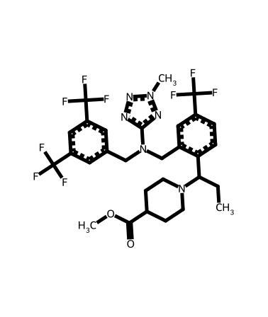 CCC(c1ccc(C(F)(F)F)cc1CN(Cc1cc(C(F)(F)F)cc(C(F)(F)F)c1)c1nnn(C)n1)N1CCC(C(=O)OC)CC1